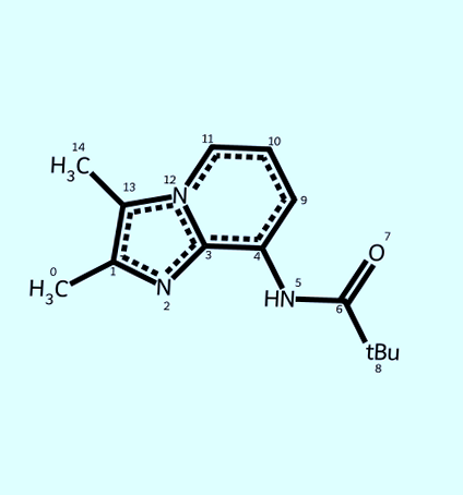 Cc1nc2c(NC(=O)C(C)(C)C)cccn2c1C